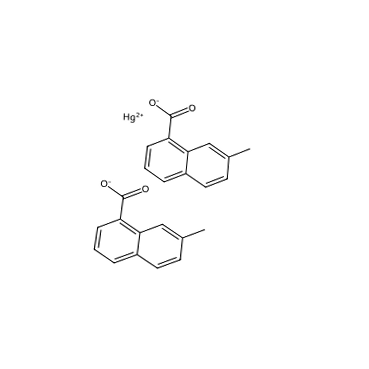 Cc1ccc2cccc(C(=O)[O-])c2c1.Cc1ccc2cccc(C(=O)[O-])c2c1.[Hg+2]